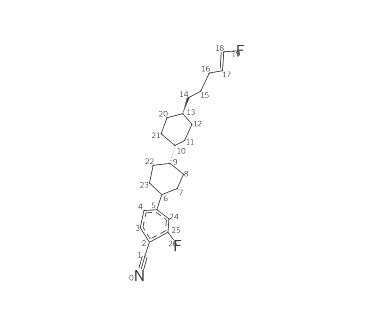 N#Cc1ccc(C2CCC([C@H]3CC[C@H](CCC/C=C/F)CC3)CC2)cc1F